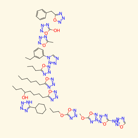 C1CCC(c2nnn[nH]2)CC1.CCCC(O)CCCCc1nnno1.CCCCCCc1nnno1.CCCOc1nnno1.CCCc1nnno1.CCc1cccc(-n2cnnn2)c1.COc1nnno1.Cc1nnno1.Nc1nnno1.Oc1nnno1.c1ccc(Cc2nnno2)cc1.c1nnno1